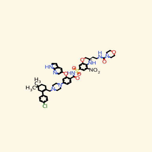 CC1(C)CCC(CN2CCN(c3ccc(C(=O)NS(=O)(=O)c4cc5c(c([N+](=O)[O-])c4)N[C@H](CCNC(=O)N4CCOCC4)CO5)c(Oc4cnc5[nH]ccc5c4)c3)CC2)=C(c2ccc(Cl)cc2)C1